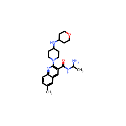 Cc1ccc2nc(N3CCC(NC4CCOCC4)CC3)c(C(=O)NC(C)N)cc2c1